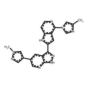 Cc1cn(-c2nccc3[nH]c(-c4n[nH]c5ncc(-c6cnn(C)c6)cc45)cc23)cn1